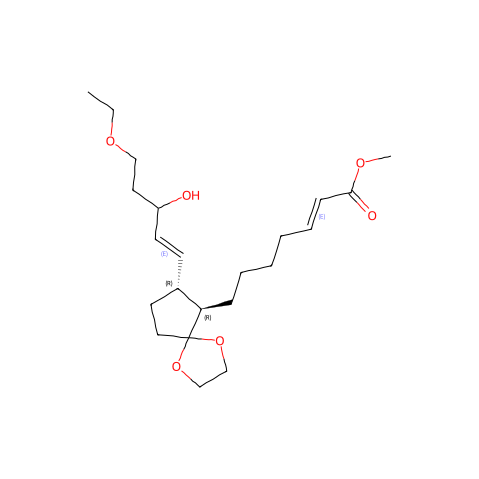 CCOCCC(O)/C=C/[C@H]1CCC2(OCCO2)[C@@H]1CCCC/C=C/C(=O)OC